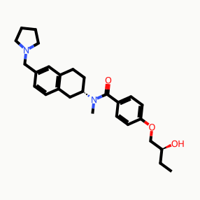 CC[C@H](O)COc1ccc(C(=O)N(C)[C@H]2CCc3cc(CN4CCCC4)ccc3C2)cc1